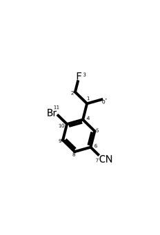 [CH2]C(CF)c1cc(C#N)ccc1Br